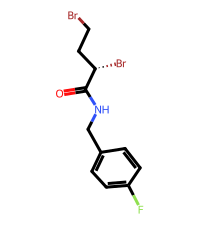 O=C(NCc1ccc(F)cc1)[C@@H](Br)CCBr